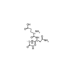 C[C@H](NC(=O)[C@H](CC(N)=O)NC(=O)[C@@H](N)CCC(=O)O)C(=O)O